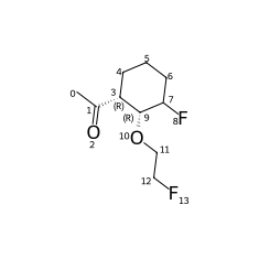 CC(=O)[C@@H]1CCCC(F)[C@@H]1OCCF